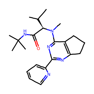 CC(C)[C@H](C(=O)NC(C)(C)C)N(C)c1nc(-c2ccccn2)nc2c1CCC2